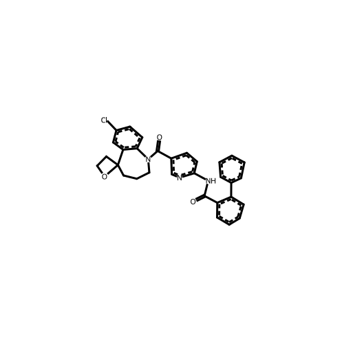 O=C(Nc1ccc(C(=O)N2CCCC3(CCO3)c3cc(Cl)ccc32)cn1)c1ccccc1-c1ccccc1